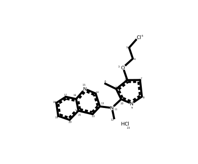 Cc1c(OCCCl)ccnc1N(C)c1cnc2ccccc2c1.Cl